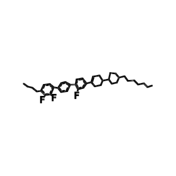 CCCCCCCC1CCC(C2CC=C(c3ccc(-c4ccc(-c5ccc(CCCC)c(F)c5F)cc4)c(F)c3)CC2)CC1